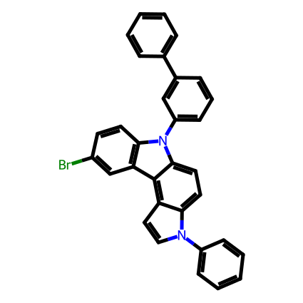 Brc1ccc2c(c1)c1c3ccn(-c4ccccc4)c3ccc1n2-c1cccc(-c2ccccc2)c1